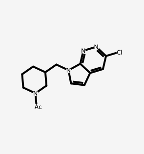 CC(=O)N1CCCC(Cn2ccc3cc(Cl)nnc32)C1